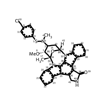 CO[C@@H]1C(N(C)Sc2ccc(Cl)cc2)C[C@H]2O[C@]1(C)n1c3ccccc3c3c4c(c5c6ccccc6n2c5c31)C(=O)NC4